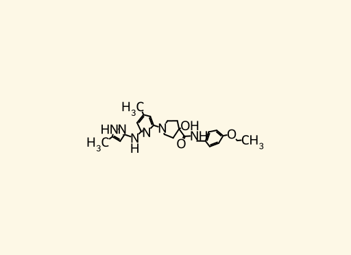 CCOc1ccc(CNC(=O)C2(O)CCN(c3cc(C)cc(Nc4cc(C)[nH]n4)n3)CC2)cc1